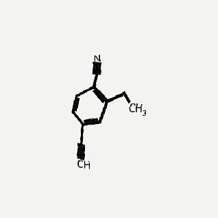 C#Cc1ccc(C#N)c(CC)c1